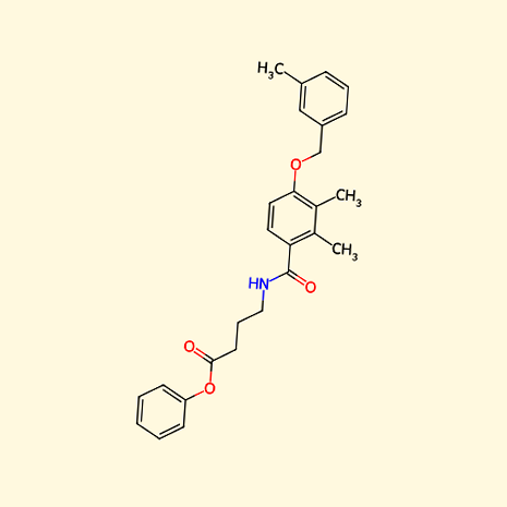 Cc1cccc(COc2ccc(C(=O)NCCCC(=O)Oc3ccccc3)c(C)c2C)c1